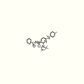 Cc1ccc([Si](C)(C)c2ccc(C(=O)N[S+]([O-])c3ccccc3)c(N3C[C@@H](C)CC3(C)C)n2)cc1